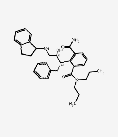 CCCN(CCC)C(=O)c1cccc(C(N)=O)c1[C@H](Cc1ccccc1)[C@@H](O)CNC1CCc2ccccc21